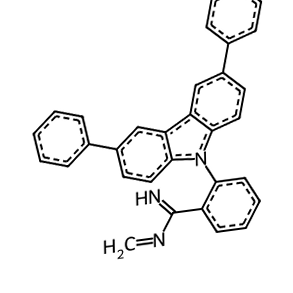 C=NC(=N)c1ccccc1-n1c2ccc(-c3ccccc3)cc2c2cc(-c3ccccc3)ccc21